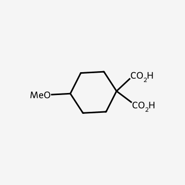 COC1CCC(C(=O)O)(C(=O)O)CC1